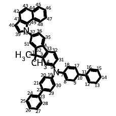 CC1(C)c2cc(N(C3=CCC(C4=CCCC=C4)C=C3)c3ccc(-c4ccccc4)cc3)ccc2-c2ccc(-n3ccc4ccc5ccccc5c43)cc21